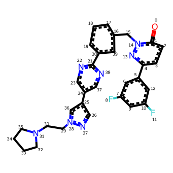 O=c1ccc(-c2cc(F)cc(F)c2)nn1Cc1cccc(-c2ncc(-c3cnn(CCN4CCCC4)c3)cn2)c1